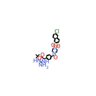 CC(C)(C)OC(=O)C(NC(=N)N)c1ccc(C(=O)N2CCN(S(=O)(=O)c3ccc4cc(Cl)ccc4c3)CC2)cc1